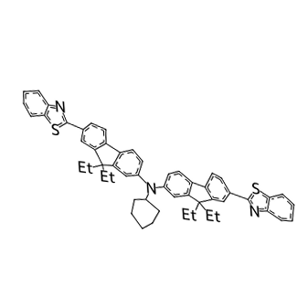 CCC1(CC)c2cc(-c3nc4ccccc4s3)ccc2-c2ccc(N(c3ccc4c(c3)C(CC)(CC)c3cc(-c5nc6ccccc6s5)ccc3-4)C3CCCCC3)cc21